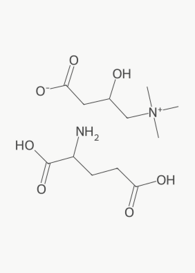 C[N+](C)(C)CC(O)CC(=O)[O-].NC(CCC(=O)O)C(=O)O